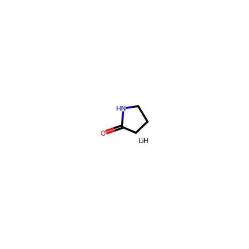 O=C1CCCN1.[LiH]